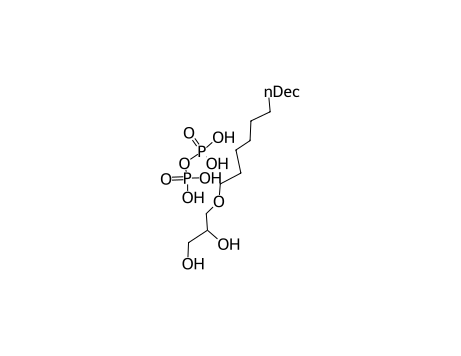 CCCCCCCCCCCCCCCCOCC(O)CO.O=P(O)(O)OP(=O)(O)O